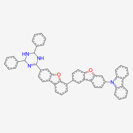 c1ccc(C2N=C(c3ccc4c(c3)oc3c(-c5ccc6oc7cc(-n8c9ccccc9c9ccccc98)ccc7c6c5)cccc34)NC(c3ccccc3)N2)cc1